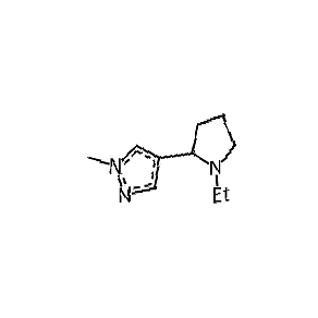 CCN1CCCC1c1cnn(C)c1